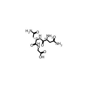 NC(=O)C[C@H](NC(=O)[C@@H](N)CC(N)=O)C(=O)NCC(=O)O